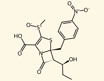 CC[C@H](O)[C@@H]1C(=O)N2C(C(=O)O)=C([S+](C)[O-])S[C@]12Cc1ccc([N+](=O)[O-])cc1